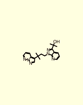 CC(C)(O)c1nn(CCC(C)(C)c2cnn3ncccc23)c2ncccc12